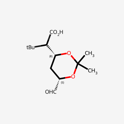 CC1(C)O[C@H](C=O)C[C@H](C(C(=O)O)C(C)(C)C)O1